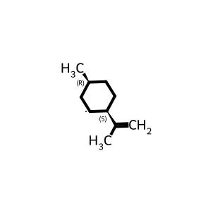 C=C(C)[C@H]1[CH]C[C@@H](C)CC1